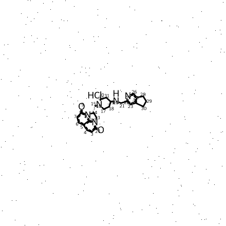 Cl.O=c1ccc2ccc(=O)n3c2n1C[C@H]3CN1CCC(NCc2cc3c(cn2)CCC3)CC1